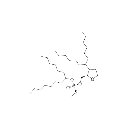 CCCCCCCC(CCCCCC)OP(=O)(OC[C@@H]1OCCC1C(CCCCCC)CCCCCC)SC